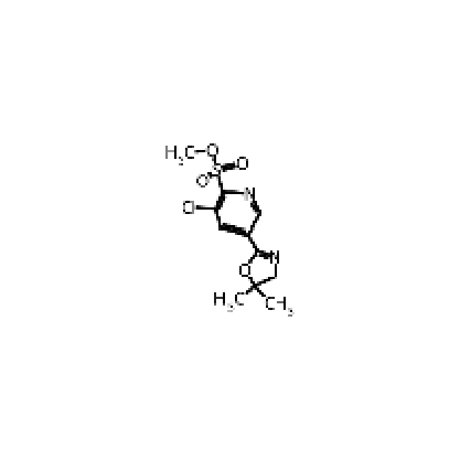 COS(=O)(=O)c1ncc(C2=NCC(C)(C)O2)cc1Cl